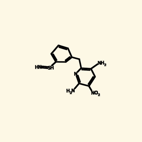 N=[SH]c1cccc(Cc2nc(N)c([N+](=O)[O-])cc2N)c1